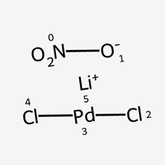 O=[N+]([O-])[O-].[Cl][Pd][Cl].[Li+]